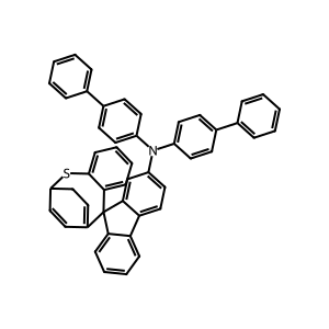 C1=CC2CC=C1C1(c3ccccc3S2)c2ccccc2-c2ccc(N(c3ccc(-c4ccccc4)cc3)c3ccc(-c4ccccc4)cc3)cc21